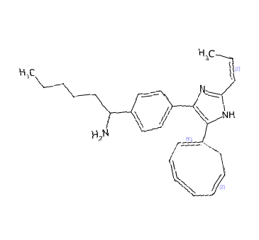 C/C=C\c1nc(-c2ccc(C(N)CCCCC)cc2)c(/C2=C/C=C=C/C=C\C2)[nH]1